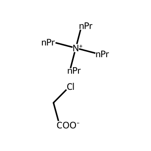 CCC[N+](CCC)(CCC)CCC.O=C([O-])CCl